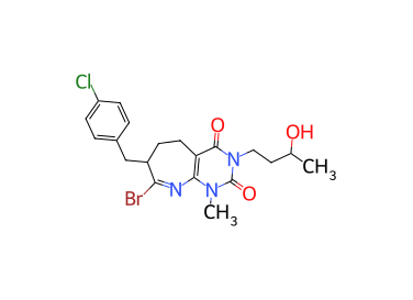 CC(O)CCn1c(=O)c2c(n(C)c1=O)N=C(Br)C(Cc1ccc(Cl)cc1)CC2